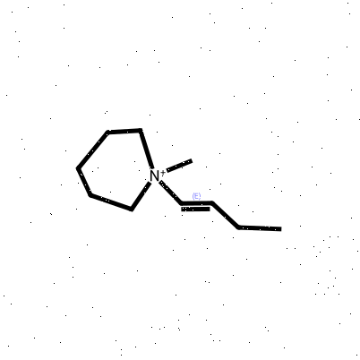 CC/C=C/[N+]1(C)CCCCC1